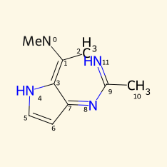 CN/C(C)=C1\NC=C\C1=N\C(C)=N